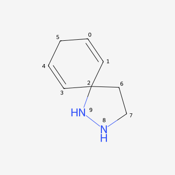 C1=CC2(C=CC1)CCNN2